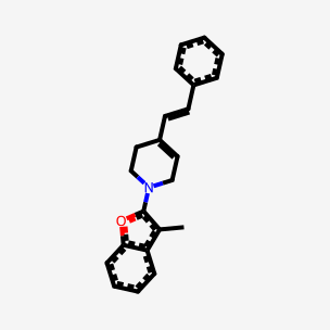 Cc1c(N2CC=C(C=Cc3ccccc3)CC2)oc2ccccc12